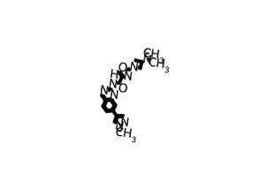 CN(C)C1CN(c2nc(C(=O)Nc3ncc4ccc(-c5cnn(C)c5)cc4n3)co2)C1